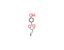 C=CCC1COC(c2ccc(O)cc2)OC1